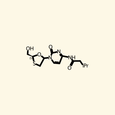 CC(C)CC(=O)Nc1ccn(C2CS[C@@H](CO)O2)c(=O)n1